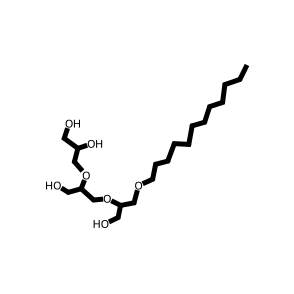 CCCCCCCCCCCCOCC(CO)OCC(CO)OCC(O)CO